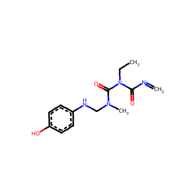 C=NC(=O)N(CC)C(=O)N(C)CNc1ccc(O)cc1